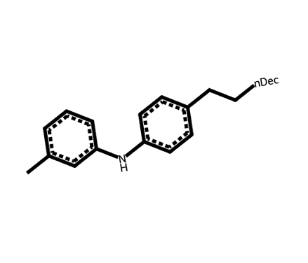 CCCCCCCCCCCCc1ccc(Nc2cccc(C)c2)cc1